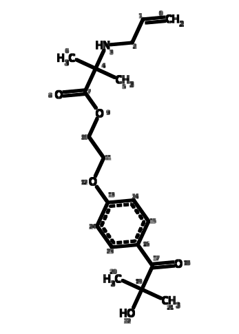 C=CCNC(C)(C)C(=O)OCCOc1ccc(C(=O)C(C)(C)O)cc1